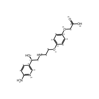 Nc1ccc([C@@H](O)CNCCOc2ccc(OCC(=O)O)cc2)cn1